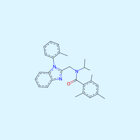 Cc1cc(C)c(C(=O)N(Cc2nc3ccccc3n2-c2ccccc2C)C(C)C)c(C)c1